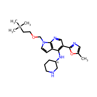 Cc1cnc(-c2cnc3c(ccn3COCC[Si](C)(C)C)c2N[C@@H]2CCCNC2)o1